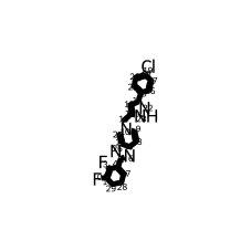 FC1=C(F)C(c2nc3ccn(Cc4cc(-c5ccc(Cl)cc5)n[nH]4)cc-3n2)=CCC1